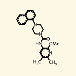 COc1nc(C)c(C)cc1NC(=O)N1CCN(c2cccc3ccccc23)CC1